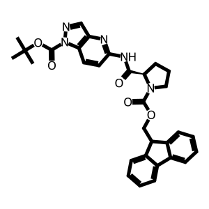 CC(C)(C)OC(=O)n1ncc2nc(NC(=O)[C@H]3CCCN3C(=O)OCC3c4ccccc4-c4ccccc43)ccc21